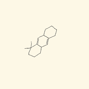 CC1(C)CCCC2C=C3CCCCC3C=C21